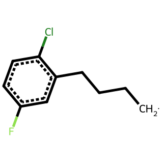 [CH2]CCCc1cc(F)ccc1Cl